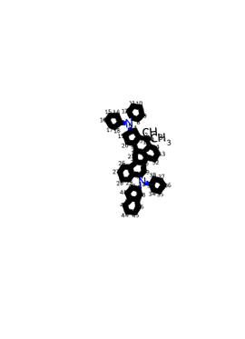 CC1(C)c2cc(N(c3ccccc3)c3ccccc3)ccc2-c2cc3c4ccccc4c(N(c4ccccc4)c4ccc5ccccc5c4)cc3c3cccc1c23